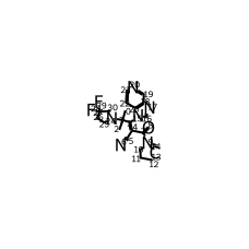 CC(C)(C(=C(C#N)C(=O)N1CCCCC1)n1cnc2cnccc21)N1CCC(F)(F)C1